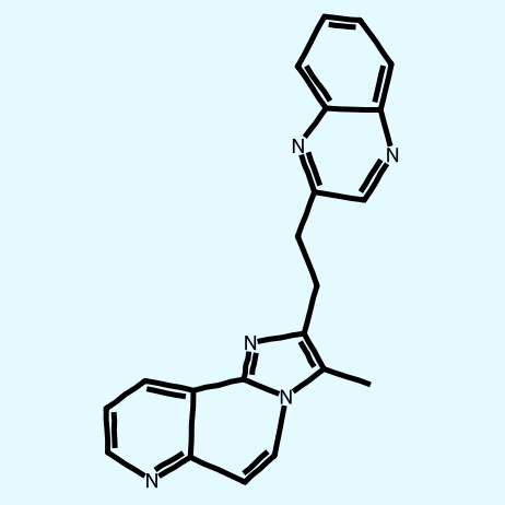 Cc1c(CCc2cnc3ccccc3n2)nc2c3cccnc3ccn12